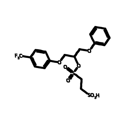 O=S(=O)(O)CCS(=O)(=O)OC(COc1ccccc1)COc1ccc(C(F)(F)F)cc1